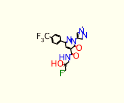 Cn1cc(-n2nc(-c3ccc(C(F)(F)F)cc3)cc(C(=O)NC[C@H](O)CF)c2=O)cn1